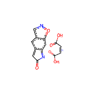 O=C(O)/C=C\C(=O)O.O=C1C=c2cc3cnoc3cc2=N1